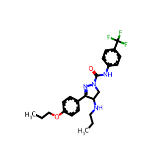 CCCNC1CN(C(=O)Nc2ccc(C(F)(F)F)cc2)N=C1c1ccc(OCCC)cc1